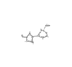 CNc1cccc(-c2noc(C)n2)c1